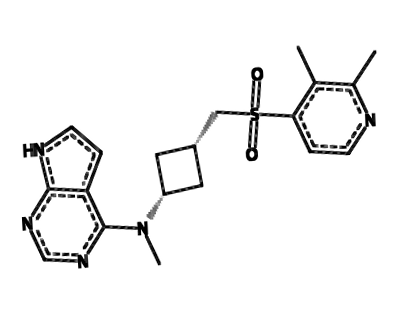 Cc1nccc(S(=O)(=O)C[C@H]2C[C@@H](N(C)c3ncnc4[nH]ccc34)C2)c1C